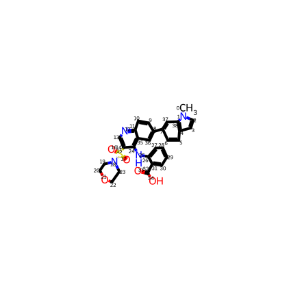 Cn1ccc2ccc(-c3ccc4ncc(S(=O)(=O)N5CCOCC5)c(Nc5ccccc5C(=O)O)c4c3)cc21